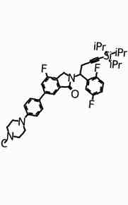 CC(C)[Si](C#CCC(c1cc(F)ccc1F)N1Cc2c(F)cc(-c3ccc(N4CCN(C)CC4)cc3)cc2C1=O)(C(C)C)C(C)C